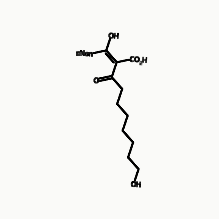 CCCCCCCCCC(O)=C(C(=O)O)C(=O)CCCCCCCO